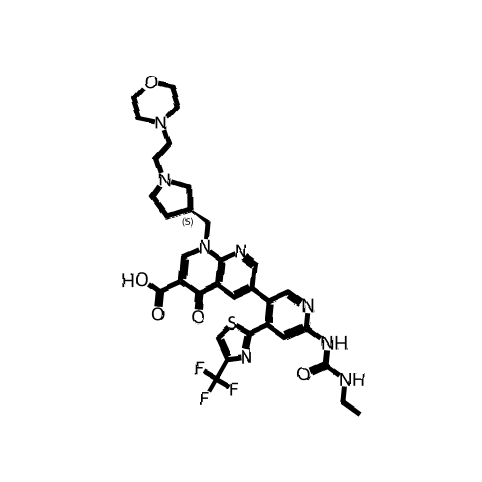 CCNC(=O)Nc1cc(-c2nc(C(F)(F)F)cs2)c(-c2cnc3c(c2)c(=O)c(C(=O)O)cn3C[C@H]2CCN(CCN3CCOCC3)C2)cn1